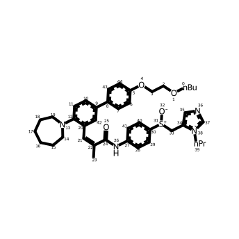 CCCCOCCOc1ccc(-c2ccc(N3CCCCCC3)c(C=C(C)C(=O)Nc3ccc([S+]([O-])Cc4cncn4CCC)cc3)c2)cc1